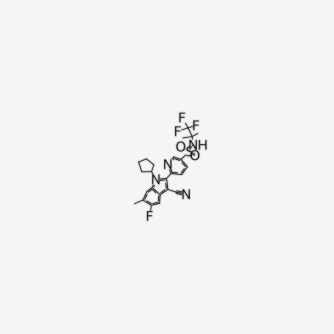 Cc1cc2c(cc1F)c(C#N)c(-c1ccc(S(=O)(=O)NC(C)(C)C(F)(F)F)cn1)n2C1CCCC1